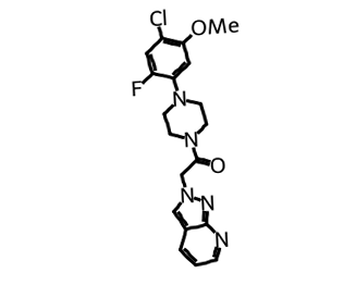 COc1cc(N2CCN(C(=O)Cn3cc4cccnc4n3)CC2)c(F)cc1Cl